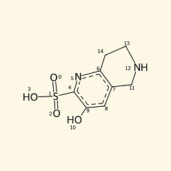 O=S(=O)(O)c1nc2c(cc1O)CNCC2